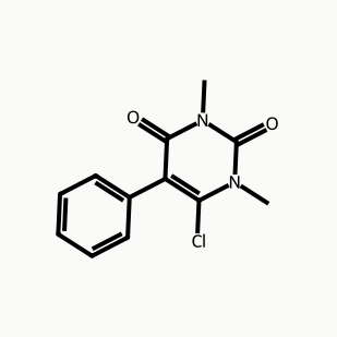 Cn1c(Cl)c(-c2ccccc2)c(=O)n(C)c1=O